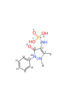 Cc1c(NP(=O)(O)O)c(=O)n(-c2ccccc2)n1C